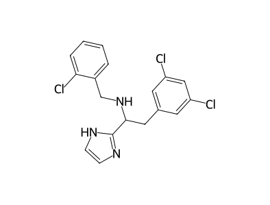 Clc1cc(Cl)cc(CC(NCc2ccccc2Cl)c2ncc[nH]2)c1